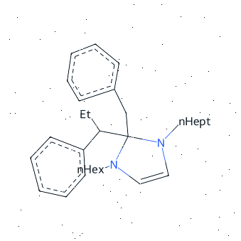 CCCCCCCN1C=CN(CCCCCC)C1(Cc1ccccc1)C(CC)c1ccccc1